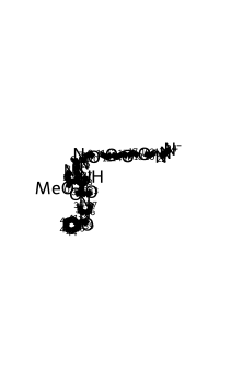 COc1cnc(-n2cnc(COCCOCCOCCOCCN=[N+]=[N-])n2)c2[nH]cc(C(=O)C(=O)N3CCN(C(=O)c4ccccc4)CC3)c12